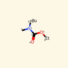 CCCCN(C)C(=O)OCC